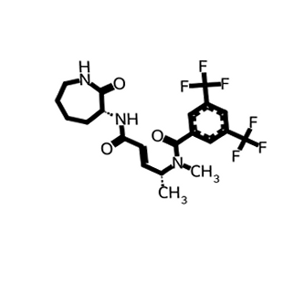 C[C@H](/C=C/C(=O)N[C@@H]1CCCCNC1=O)N(C)C(=O)c1cc(C(F)(F)F)cc(C(F)(F)F)c1